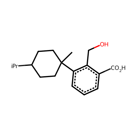 CC(C)C1CCC(C)(c2cccc(C(=O)O)c2CO)CC1